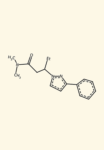 CCC(CC(=O)N(C)C)n1ccc(-c2ccccc2)n1